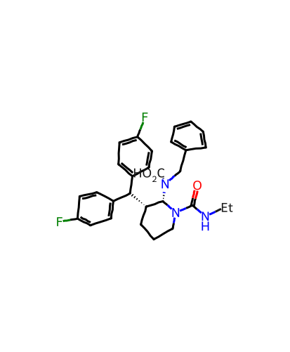 CCNC(=O)N1CCC[C@H](C(c2ccc(F)cc2)c2ccc(F)cc2)[C@@H]1N(Cc1ccccc1)C(=O)O